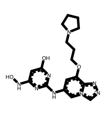 ONc1cc(O)nc(Nc2cc(OCCCN3CCCC3)c3nncn3c2)n1